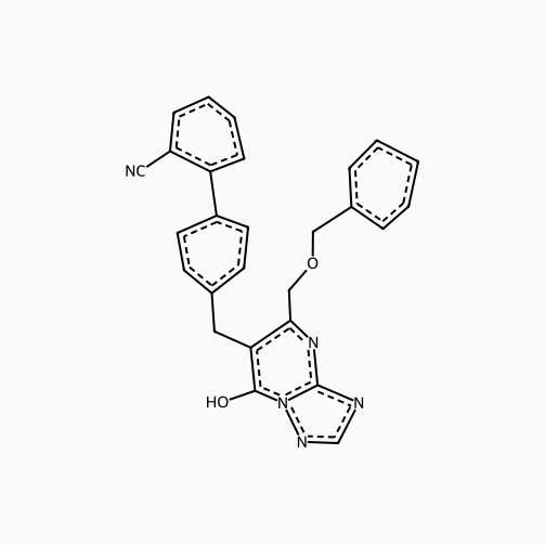 N#Cc1ccccc1-c1ccc(Cc2c(COCc3ccccc3)nc3ncnn3c2O)cc1